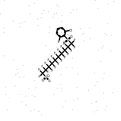 O=S(=O)(Cl)C(F)(F)C(F)(F)C(F)(F)C(F)(F)C(F)(F)C(F)(F)C(F)(F)C(F)(F)C(F)(F)C(F)(F)S(=O)(=O)c1c(F)cccc1Cl